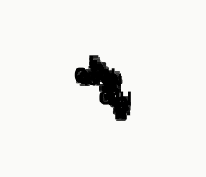 Cc1c(C(=O)NCC2CN(C)CCO2)sc2ncnc(Nc3ccc(F)cc3O[C@@H]3CCOC3)c12